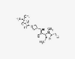 Cc1nc(C=O)n(C)c1C(=O)NC1CN(C(=O)OC(C)(C)C)C1